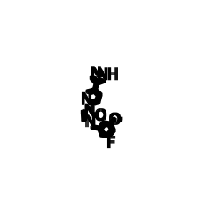 COc1cc(F)cc(CN2CCN(c3ccc(-c4cn[nH]c4)cn3)C2=O)c1